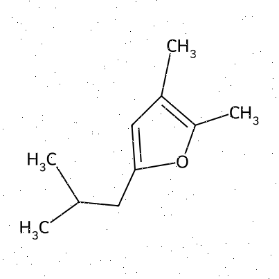 Cc1cc(CC(C)C)oc1C